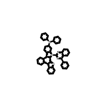 c1ccc(-c2nc(-n3c4cc(N(c5ccccc5)c5ccccc5)ccc4c4c5ccccc5c5c6ccccc6sc5c43)nc3ccccc23)cc1